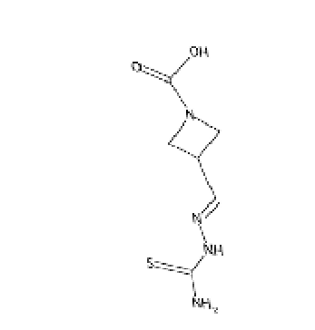 NC(=S)NN=CC1CN(C(=O)O)C1